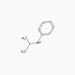 C[C](C)Nc1ccccc1